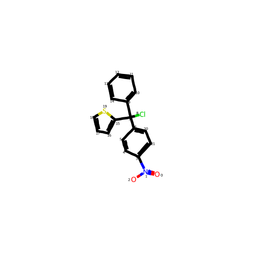 O=[N+]([O-])c1ccc(C(Cl)(c2ccccc2)c2cccs2)cc1